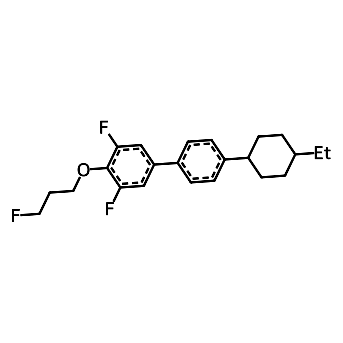 CCC1CCC(c2ccc(-c3cc(F)c(OCCCF)c(F)c3)cc2)CC1